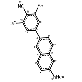 CCCCCCc1ccc2cc(-c3cc(F)c(C#N)c(F)c3)ccc2c1